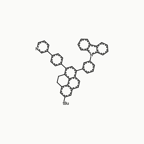 CC(C)(C)c1cc2c3c(ccc4c(-c5cccc(-n6c7ccccc7c7ccccc76)c5)cc(-c5ccc(-c6cccnc6)cc5)c(c43)CC2)c1